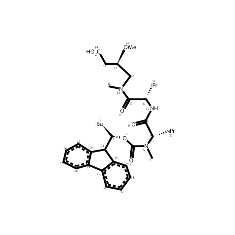 CC[C@H](C)[C@H](OC(=O)N(C)[C@H](C(=O)N[C@H](C(=O)N(C)C[C@@H](CC(=O)O)OC)C(C)C)C(C)C)C1c2ccccc2-c2ccccc21